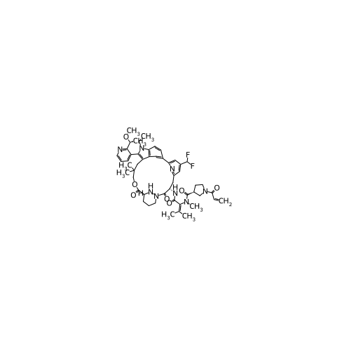 C=CC(=O)N1CC[C@H](C(=O)N(C)C(C(=O)N[C@H]2Cc3cc(C(F)F)cc(n3)-c3ccc4c(c3)c(c(-c3cccnc3[C@H](C)OC)n4CC)CC(C)(C)COC(=O)[C@@H]3CCCN(N3)C2=O)=C(C)C)C1